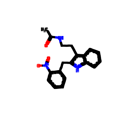 CC(=O)NCCc1c(Cc2ccccc2[N+](=O)[O-])[nH]c2ccccc12